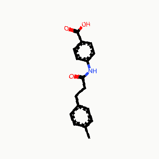 Cc1ccc(CCC(=O)Nc2ccc(C(=O)O)cc2)cc1